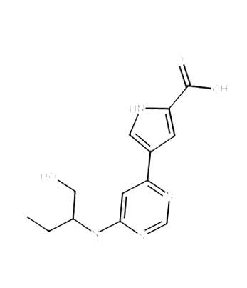 CCC(CO)Nc1cc(-c2c[nH]c(C(=O)O)c2)ncn1